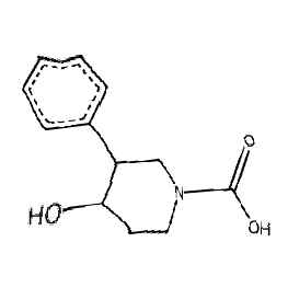 O=C(O)N1CCC(O)C(c2ccccc2)C1